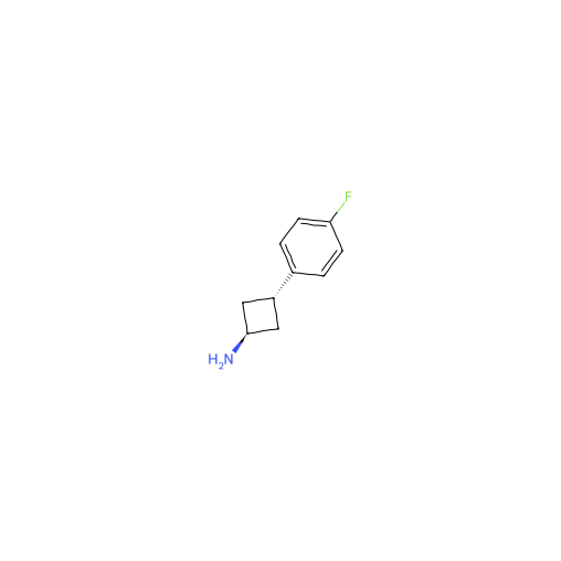 N[C@H]1C[C@H](c2ccc(F)cc2)C1